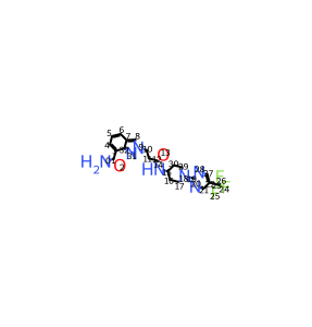 NC(=O)c1cccc2cn(CCC(=O)NC3CCN(c4ncc(C(F)(F)F)cn4)CC3)nc12